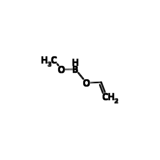 C=COBOC